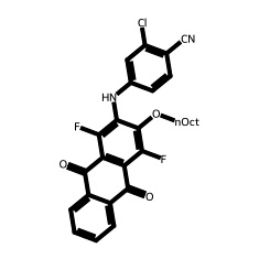 CCCCCCCCOc1c(F)c2c(c(F)c1Nc1ccc(C#N)c(Cl)c1)C(=O)c1ccccc1C2=O